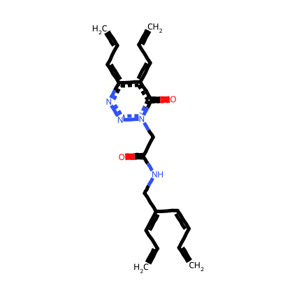 C=C/C=C\C(=C/C=C)CNC(=O)Cn1nnc(=C/C=C)/c(=C\C=C)c1=O